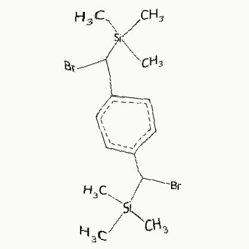 C[Si](C)(C)C(Br)c1ccc(C(Br)[Si](C)(C)C)cc1